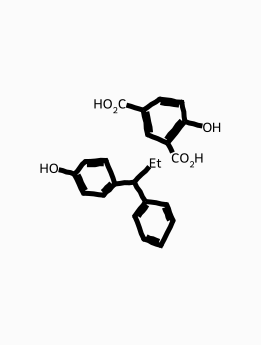 CCC(c1ccccc1)c1ccc(O)cc1.O=C(O)c1ccc(O)c(C(=O)O)c1